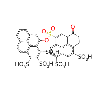 O=C1C=Cc2c(S(=O)(=O)O)cc3c(S(=O)(=O)O)ccc4c3c2C1C=C4S(=O)(=O)Oc1cc2cccc3ccc4c(S(=O)(=O)O)c(S(=O)(=O)O)c(S(=O)(=O)O)c1c4c32